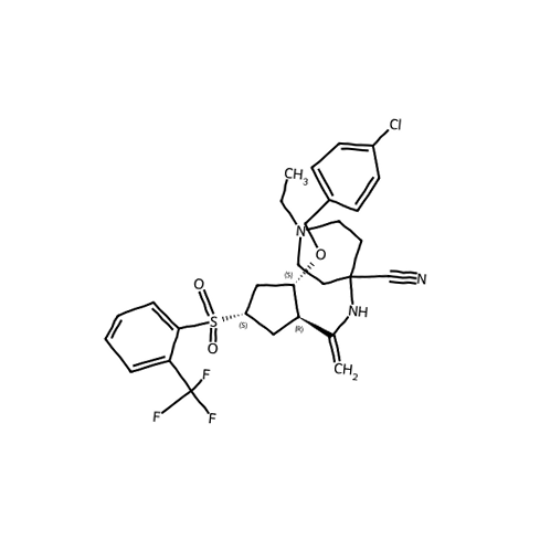 C=C(NC1(C#N)CCN(CC)CC1)[C@H]1C[C@H](S(=O)(=O)c2ccccc2C(F)(F)F)C[C@@H]1OCc1ccc(Cl)cc1